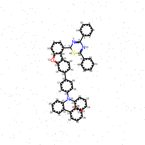 c1ccc(C2=NC(c3cccc4oc5cc(-c6ccc(N(c7ccccc7)c7ccccc7-c7ccccc7)cc6)ccc5c34)SC(c3ccccc3)=N2)cc1